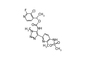 Cc1nc(-c2nnn(C)c2NC(=O)OC(C)c2ccnc(F)c2Cl)ccc1NS(C)(=O)=O